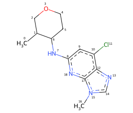 CC1COCCC1Nc1cc(Cl)c2ncn(C)c2n1